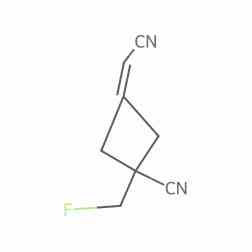 N#CC=C1CC(C#N)(CF)C1